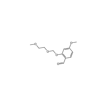 COCCOCOc1cc(OC)ccc1C=O